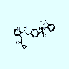 Nc1ccccc1NC(=O)c1ccc(CNc2ncccc2CC(=O)C2CC2)cc1